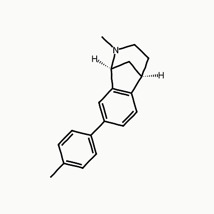 Cc1ccc(-c2ccc3c(c2)[C@@H]2C[C@H]3CCN2C)cc1